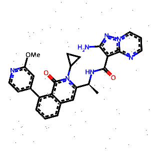 COc1cc(-c2cccc3cc([C@H](C)NC(=O)c4c(N)nn5cccnc45)n(C4CC4)c(=O)c23)ccn1